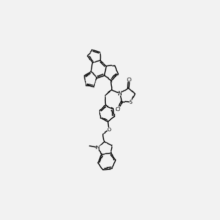 CN1c2ccccc2CC1COc1ccc(CC(C2=CCc3c2c2c(c4c3C=CC=4)=CC=C2)N2C(=O)CSC2=O)cc1